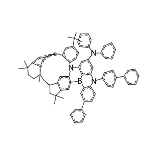 CC(C)(C)c1ccc2c(c1)-c1ccc3c(c1)C(C)(C)CCC3(C)CC1(C)CC(C)(C)c3cc4c(cc31)N2c1cc(N(c2ccccc2)c2ccccc2)cc2c1B4c1cc(-c3ccccc3)ccc1N2c1ccc(-c2ccccc2)cc1